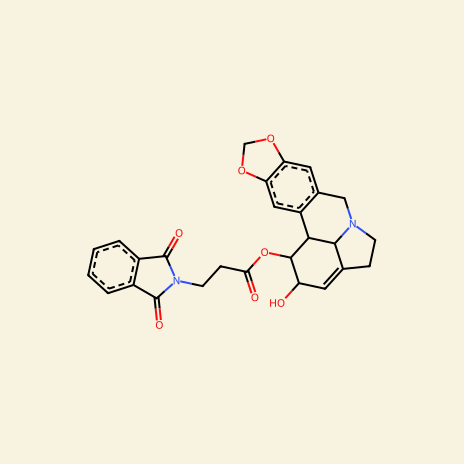 O=C(CCN1C(=O)c2ccccc2C1=O)OC1C(O)C=C2CCN3Cc4cc5c(cc4C1C23)OCO5